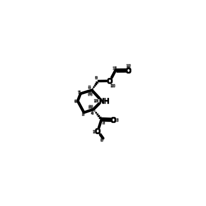 COC(=O)[C@@H]1CCC[C@H](COC=O)N1